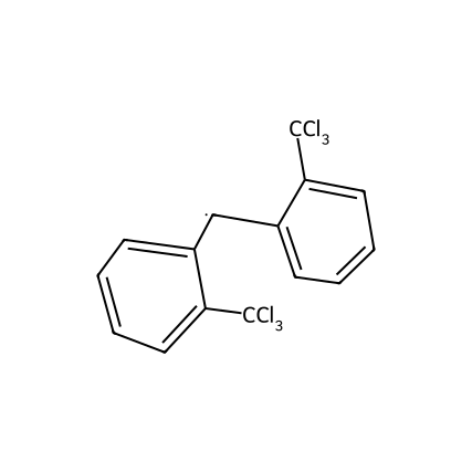 ClC(Cl)(Cl)c1ccccc1[CH]c1ccccc1C(Cl)(Cl)Cl